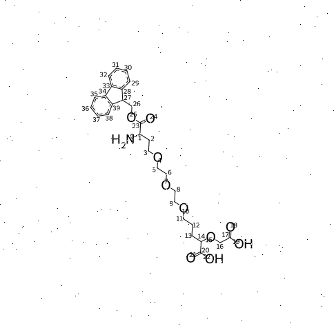 NC(CCOCCOCCOCCCC(OCC(=O)O)C(=O)O)C(=O)OCC1c2ccccc2-c2ccccc21